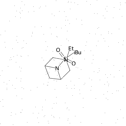 CCC(C)S(=O)(=O)N1C2CC1CN(CC)C2